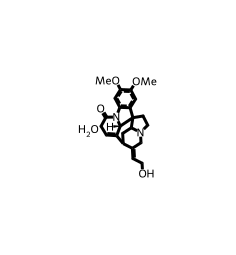 COc1cc2c(cc1OC)C13CCN4C/C(=C\CO)C(CC41)C1=CCC(=O)N2[C@@H]13.O